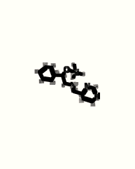 C[Si](C)(C)OC(CN=Cc1ccncn1)c1ccccc1